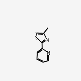 Cc1[c]sc(-c2ccccn2)n1